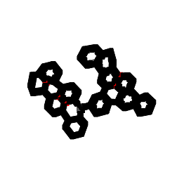 C1=CCCC(C2=CC=C(C3CCCC=C3N(c3ccc(-c4ccccc4)cc3)c3ccc(-c4cc5ccccc5c5ccccc45)c(-c4ccc5ccc6ccccc6c5c4)c3)CC2)=C1